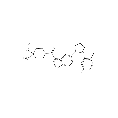 O=C(c1cnn2ccc(N3CCC[C@@H]3c3cc(F)ccc3F)cc12)N1CCC(NCl)(C(=O)O)CC1